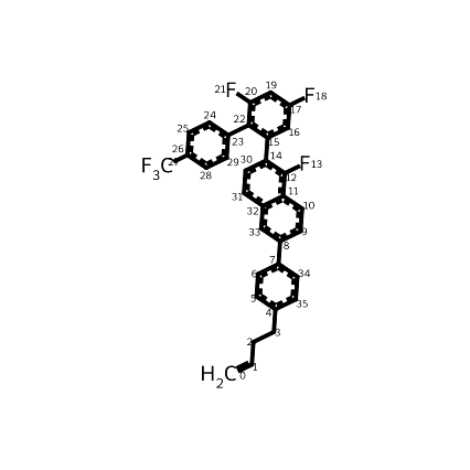 C=CCCc1ccc(-c2ccc3c(F)c(-c4cc(F)cc(F)c4-c4ccc(C(F)(F)F)cc4)ccc3c2)cc1